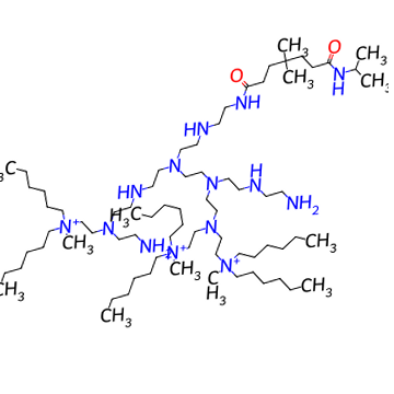 CCCCCC[N+](C)(CCCCCC)CCN(CCN)CCNCCN(CCNCCNC(=O)CCC(C)(C)CCC(=O)NC(C)C)CCN(CCNCCN)CCN(CC[N+](C)(CCCCCC)CCCCCC)CC[N+](C)(CCCCCC)CCCCCC